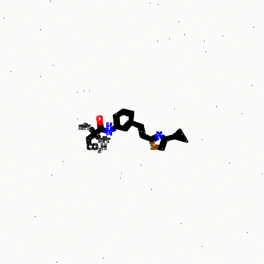 CCCC(CCC)(CC(=O)O)C(=O)Nc1cccc(C=Cc2nc(C3CC3)cs2)c1